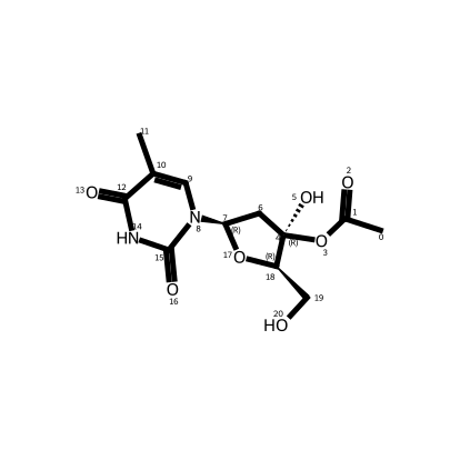 CC(=O)O[C@]1(O)C[C@H](n2cc(C)c(=O)[nH]c2=O)O[C@@H]1CO